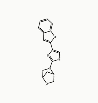 c1ccc2oc(-c3csc(N4CC5CC4CO5)n3)cc2c1